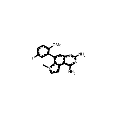 COc1ccc(F)cc1-c1cc2nc(N)nc(N)c2c2ccn(C)c12